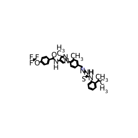 Cc1cc(/C=N/NC(=S)Nc2ccccc2C(C)C)ccc1-n1cc(NC(=O)c2ccc(OC(F)(F)F)cc2)c(C)n1